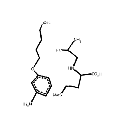 CCCCCCCCCCCCCCOc1cccc(N)c1.CSCCC(NCC(C)O)C(=O)O